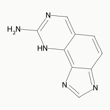 Nc1ncc2ccc3ncnc3c2[nH]1